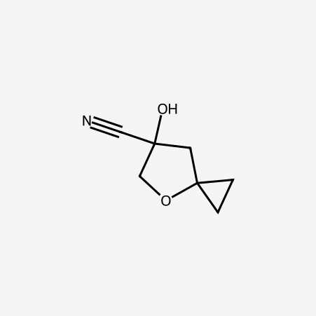 N#CC1(O)COC2(CC2)C1